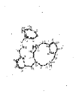 c1ccc(CNCc2cccc(CN3CCNCc4cccc(c4)CNCC3)c2)nc1